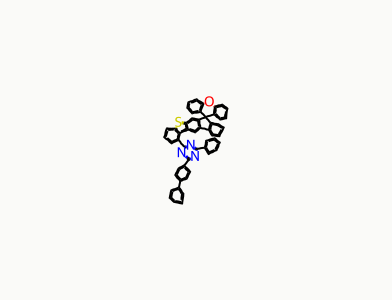 c1ccc(-c2ccc(-c3nc(-c4ccccc4)nc(-c4cccc5sc6cc7c(cc6c45)-c4ccccc4C74c5ccccc5Oc5ccccc54)n3)cc2)cc1